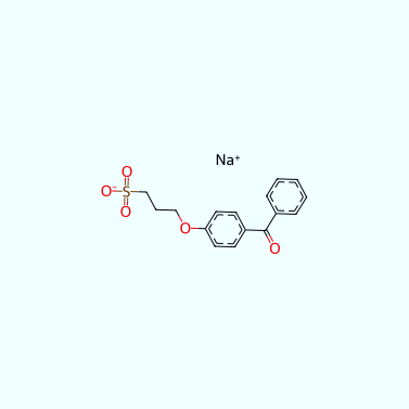 O=C(c1ccccc1)c1ccc(OCCCS(=O)(=O)[O-])cc1.[Na+]